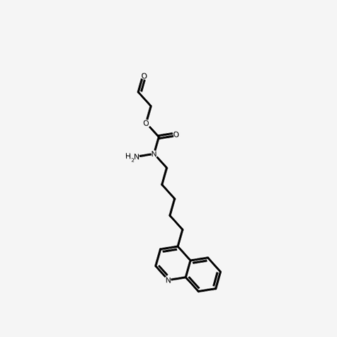 NN(CCCCCc1ccnc2ccccc12)C(=O)OCC=O